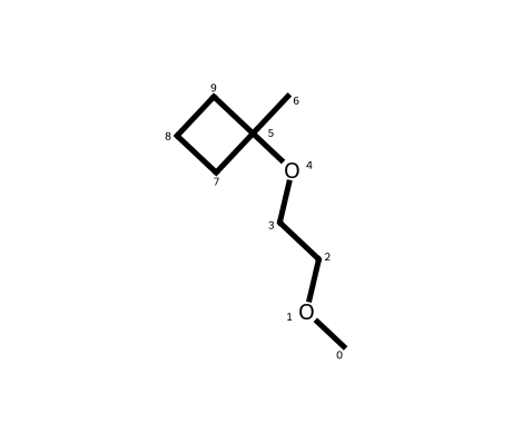 COCCOC1(C)CCC1